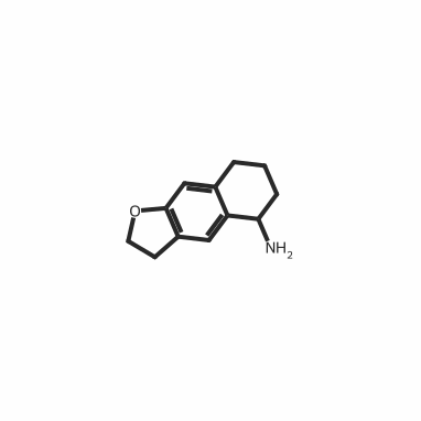 NC1CCCc2cc3c(cc21)CCO3